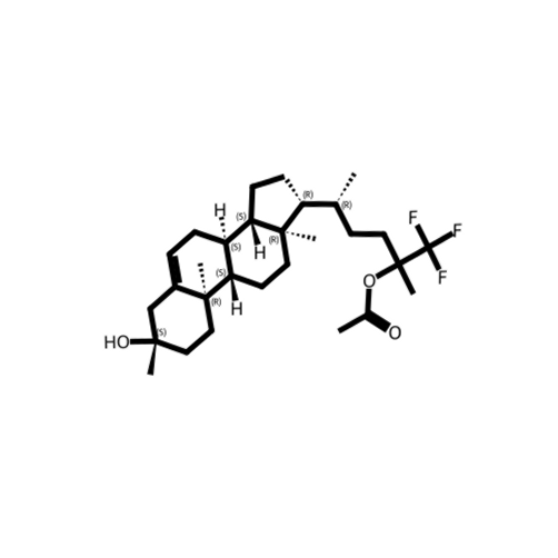 CC(=O)OC(C)(CC[C@@H](C)[C@H]1CC[C@H]2[C@@H]3CC=C4C[C@@](C)(O)CC[C@]4(C)[C@H]3CC[C@]12C)C(F)(F)F